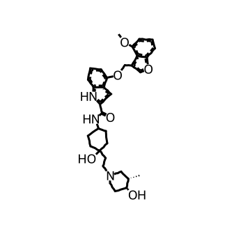 COc1cccc2occ(COc3cccc4[nH]c(C(=O)NC5CCC(O)(CCN6CC[C@H](O)[C@@H](C)C6)CC5)cc34)c12